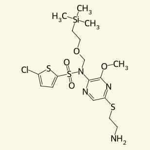 COc1nc(SCCN)cnc1N(COCC[Si](C)(C)C)S(=O)(=O)c1ccc(Cl)s1